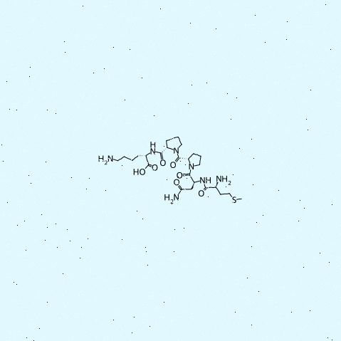 CSCC[C@H](N)C(=O)N[C@@H](CC(N)=O)C(=O)N1CCC[C@H]1C(=O)N1CCC[C@H]1C(=O)N[C@@H](CCCCN)C(=O)O